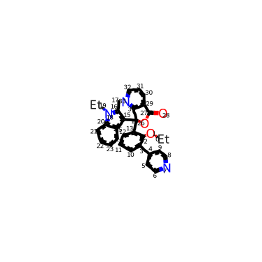 CCOc1c(-c2ccncc2)cccc1C1(c2c(C)n(CC)c3ccccc23)OC(=O)c2cccnc21